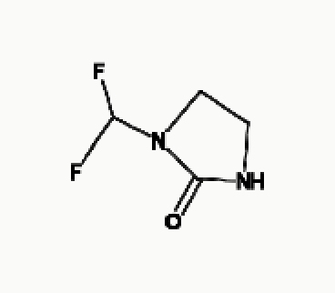 O=C1NCCN1C(F)F